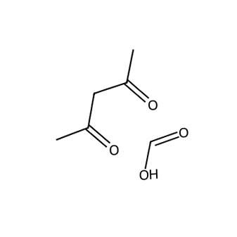 CC(=O)CC(C)=O.O=CO